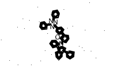 c1ccc(-c2nc(-c3ccccc3)nc(-c3ccc4c(c3)oc3c(-n5c6ccccc6c6c7ccccc7c(-c7ccccc7)cc65)cccc34)n2)cc1